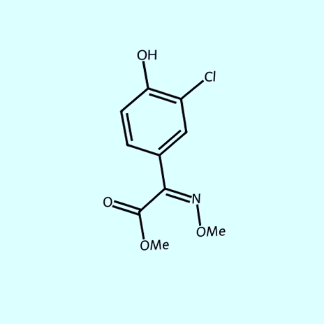 CON=C(C(=O)OC)c1ccc(O)c(Cl)c1